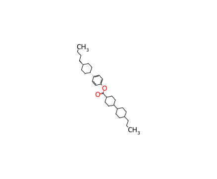 CCCC[C@H]1CC[C@H](c2ccc(OC(=O)C3CCC(C4CCC(CCC)CC4)CC3)cc2)CC1